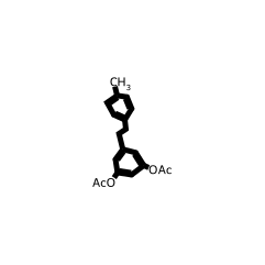 CC(=O)Oc1cc(CCc2ccc(C)cc2)cc(OC(C)=O)c1